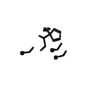 CCC(C)[C]1([Zr+3])C=CC=C1.CC[O-].CC[O-].CC[O-]